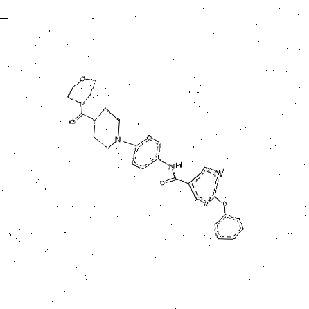 O=C(Nc1ccc(N2CCC(C(=O)N3CCOCC3)CC2)cc1)c1cnc(Oc2ccccc2)nc1